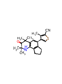 Cc1c(-c2cc3c(c4c2CCC4)NC(C)(C)C(=O)C3(C)C)csc1C#N